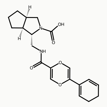 O=C(NC[C@@H]1[C@H]2CCC[C@H]2CN1C(=O)O)C1=COC(C2=CCCC=C2)=CO1